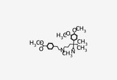 COC(=O)c1ccc(CCN(C)CCCC(C#N)(c2ccc(OC)c(OC)c2)C(C)C)cc1